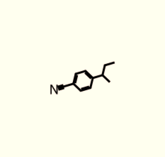 CCC(C)c1ccc(C#N)cc1